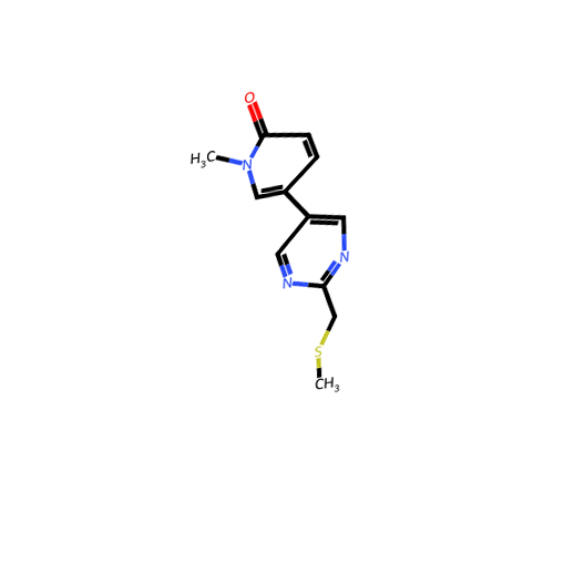 CSCc1ncc(-c2ccc(=O)n(C)c2)cn1